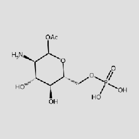 CC(=O)OC1O[C@H](COP(=O)(O)O)[C@@H](O)[C@H](O)[C@H]1N